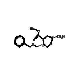 CC(C)(C)OC(=O)N1C[C@H](C(=O)O)OC[C@@H]1COCc1ccccc1